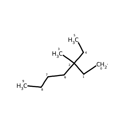 [CH2]CC(C)(CC)CCCC